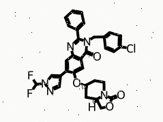 O=C1OC[C@@H]2C[C@@H](Oc3cc4c(=O)n(Cc5ccc(Cl)cc5)c(-c5ccccc5)nc4cc3-c3cnn(C(F)F)c3)CCN12